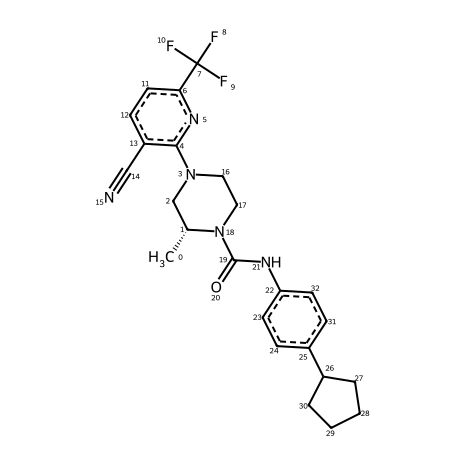 C[C@@H]1CN(c2nc(C(F)(F)F)ccc2C#N)CCN1C(=O)Nc1ccc(C2CCCC2)cc1